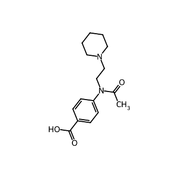 CC(=O)N(CCN1CCCCC1)c1ccc(C(=O)O)cc1